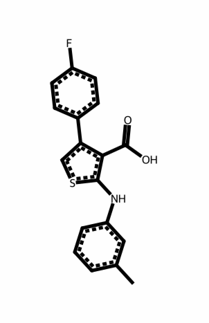 Cc1cccc(Nc2scc(-c3ccc(F)cc3)c2C(=O)O)c1